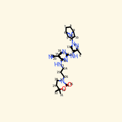 Cc1nn(C2CC3CCC(C2)N3C)cc1Nc1ncc(C#N)c(NCCCN2CCC(C)(C)OC2=O)n1